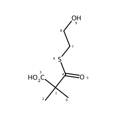 CC(C)(C(=O)O)C(=O)SCCO